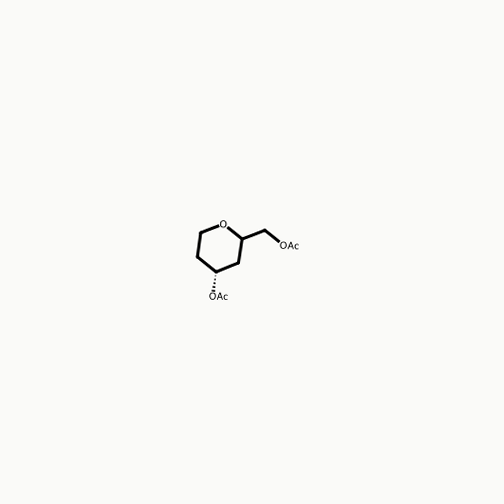 CC(=O)OCC1C[C@H](OC(C)=O)CCO1